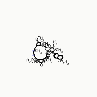 COc1cc2cc(c1Cl)N(C)C(=O)C[C@H](OC(=O)[C@H](C)N(C)C(=O)c1ccc3nc(N)ccc3c1)[C@]1(C)O[C@H]1[C@H](C)[C@@H]1C[C@@](O)(NC(=O)O1)[C@H](OC)/C=C/C=C(\C)C2